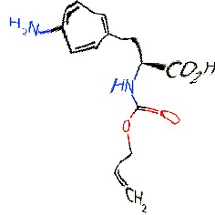 C=CCOC(=O)N[C@@H](Cc1ccc(N)cc1)C(=O)O